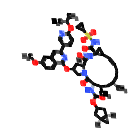 COc1ccc2c(OC3C[C@H]4C(=O)N[C@]5(C(=O)NS(=O)(=O)C6CC6)CC5/C=C\CC[C@H](C)C[C@@H](C)[C@H](NC(=O)O[C@@H]5C[C@@H]6C[C@@H]6C5)C(=O)N4C3)nc(-c3ccc(OC(C)C)nc3)cc2c1